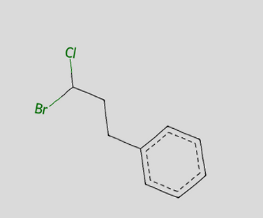 ClC(Br)CCc1ccccc1